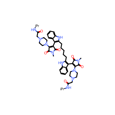 CC(C)NC(=O)CN1CCN(C2=C(c3c(CCCCCc4[nH]c5ccccc5c4C4=C(N5CCN(CC(=O)NC(C)C)CC5)C(=O)N(C)C4=O)[nH]c4ccccc34)C(=O)N(C)C2=O)CC1